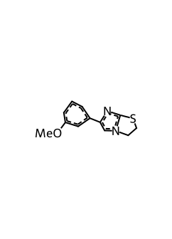 COc1cccc(-c2cn3c(n2)SCC3)c1